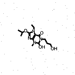 CCn1c(OC(C)C)nc2c1C(=O)N(CCCO)C(O)N2C